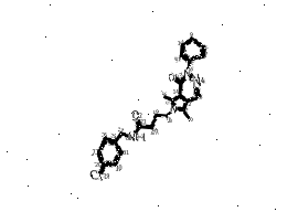 Cc1c2cnn(-c3ccccc3)c(=O)c2c(C)n1CCCC(=O)NCc1ccc(Cl)cc1